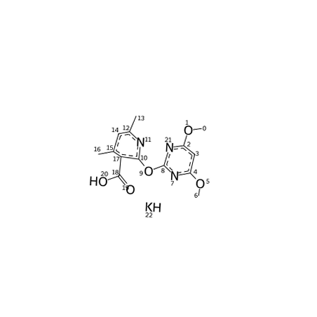 COc1cc(OC)nc(Oc2nc(C)cc(C)c2C(=O)O)n1.[KH]